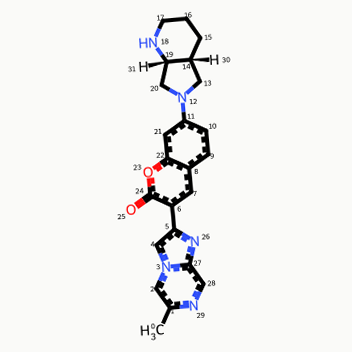 Cc1cn2cc(-c3cc4ccc(N5C[C@H]6CCCN[C@H]6C5)cc4oc3=O)nc2cn1